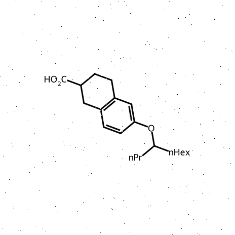 CCCCCCC(CCC)Oc1ccc2c(c1)CCC(C(=O)O)C2